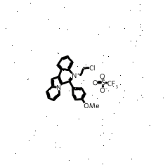 COc1ccc(-c2c3c(cc4ccccn43)c3ccccc3[n+]2CCCl)cc1.O=S(=O)([O-])C(F)(F)F